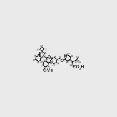 COc1ccc(C(=O)N(CC2(F)CCC2)c2ccccn2)c(N2CCC(COc3cc(C(CC(=O)O)C4CC4)ccn3)CC2)c1